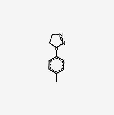 Cc1ccc(N2CCN=N2)cc1